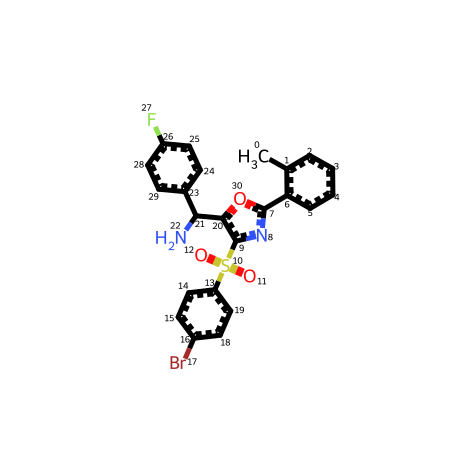 Cc1ccccc1-c1nc(S(=O)(=O)c2ccc(Br)cc2)c(C(N)c2ccc(F)cc2)o1